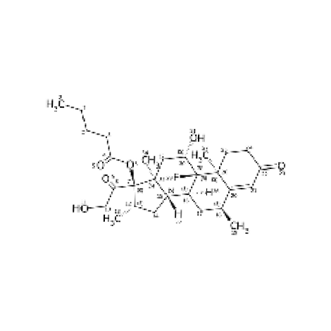 CCCCC(=O)O[C@]1(C(=O)CO)[C@@H](C)C[C@H]2[C@@H]3C[C@H](C)C4=CC(=O)CC[C@]4(C)[C@@]3(F)[C@@H](O)C[C@@]21C